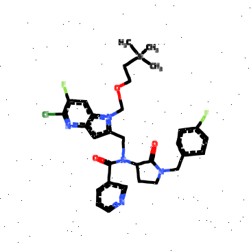 C[Si](C)(C)CCOCn1c(CN(C(=O)c2cccnc2)C2CCN(Cc3ccc(F)cc3)C2=O)cc2nc(Cl)c(F)cc21